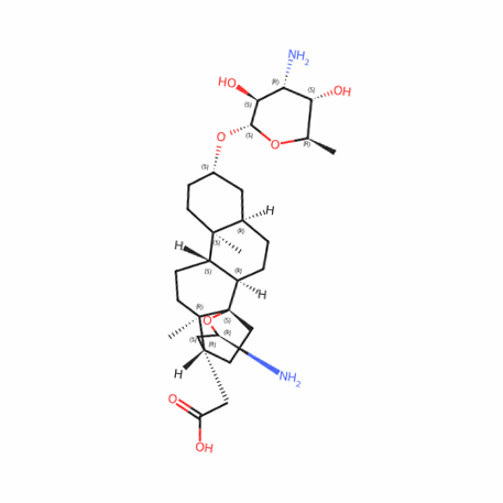 C[C@H]1O[C@H](O[C@H]2CC[C@@]3(C)[C@H](CC[C@@H]4[C@@H]3CC[C@]3(C)[C@@H]5CC[C@]43O[C@@H](N)[C@H]5CC(=O)O)C2)[C@@H](O)[C@H](N)[C@@H]1O